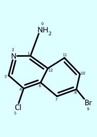 Nc1ncc(Cl)c2cc(Br)ccc12